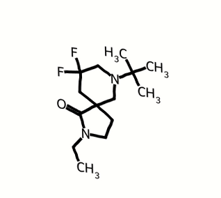 CCN1CCC2(CN(C(C)(C)C)CC(F)(F)C2)C1=O